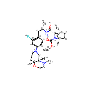 CN1CCO[C@@H]2CCN(c3ccc(C[C@@H](C#N)NC(=O)[C@@H]4[C@H]5CC[C@H](C5)N4C(=O)OC(C)(C)C)c(F)c3)C[C@@H]21